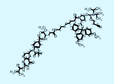 COC(=O)[C@H](CCC(=O)NCCSSCCCC(=O)N1C[C@H](OP(OCCC#N)N(C(C)C)C(C)C)C[C@H]1COC(c1ccccc1)(c1ccc(OC)cc1)c1ccc(OC)cc1)NC(=O)c1ccc(N(Cc2cnc3nc(NC(=O)C(C)C)[nH]c(=O)c3n2)C(=O)C(F)(F)F)cc1